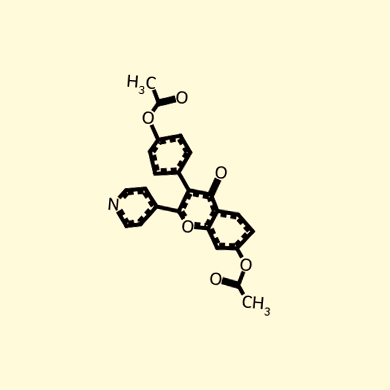 CC(=O)Oc1ccc(-c2c(-c3ccncc3)oc3cc(OC(C)=O)ccc3c2=O)cc1